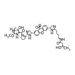 COC(=O)N[C@H](C(=O)N1CCC[C@H]1C1=NCC(c2ccc3c(c2)S(=O)(=O)c2ccc(C4CN=C(CCCCNC(=O)C[C@H](C)O)N4)cc2O3)N1)[C@H](C)O